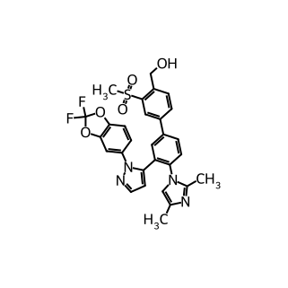 Cc1cn(-c2ccc(-c3ccc(CO)c(S(C)(=O)=O)c3)cc2-c2ccnn2-c2ccc3c(c2)OC(F)(F)O3)c(C)n1